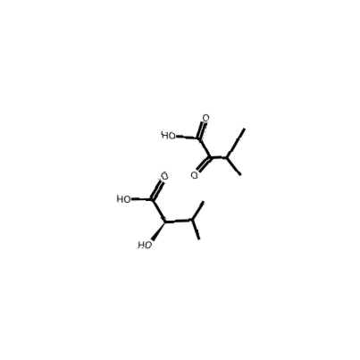 CC(C)C(=O)C(=O)O.CC(C)[C@@H](O)C(=O)O